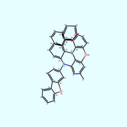 Cc1cc2c3c(c1)N(c1ccc4c(c1)oc1ccccc14)c1cccc(-c4ccccc4)c1B3c1c(cccc1-c1ccccc1)O2